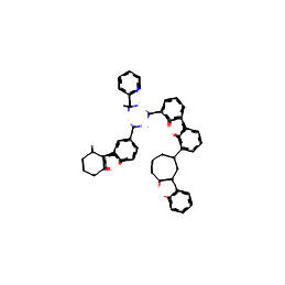 CC1CCCc2oc3ccc(C4NC(c5cccc6c5oc5c(C7CCCC8Oc9ccccc9C8C7)cccc56)NC(C)(c5ccccc5)N4)cc3c21